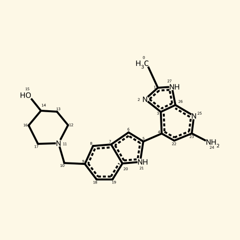 Cc1nc2c(-c3cc4cc(CN5CCC(O)CC5)ccc4[nH]3)cc(N)nc2[nH]1